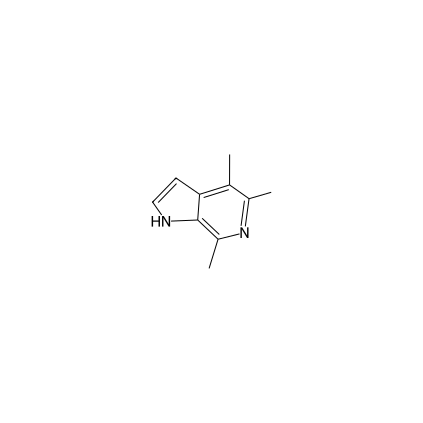 Cc1nc(C)c2[nH]ccc2c1C